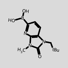 Cn1c(=O)n(CC(C)(C)C)c2ccc(B(O)O)nc21